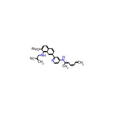 C=C/C=C\C=C(/C)Nc1ccnc(-c2ccc3ccc(OC)c(NCC(=C)C#N)c3c2)c1